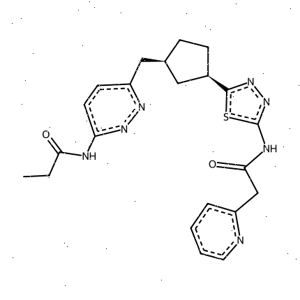 CCC(=O)Nc1ccc(C[C@H]2CC[C@@H](c3nnc(NC(=O)Cc4ccccn4)s3)C2)nn1